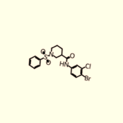 O=C(Nc1ccc(Br)c(Cl)c1)C1CCCN(S(=O)(=O)c2ccccc2)C1